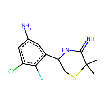 CC1(C)SCC(c2cc(N)cc(Cl)c2F)NC1=N